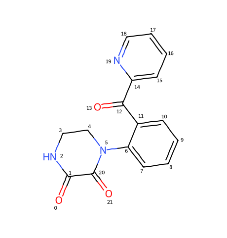 O=C1NCCN(c2ccccc2C(=O)c2ccccn2)C1=O